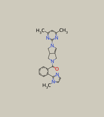 Cc1cc(C)nc(N2C=C3CN(C(=O)c4ccccc4-c4nccn4C)CC3C2)n1